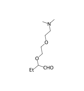 CCC(C=O)OCCOCCN(C)C